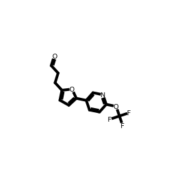 O=CCCc1ccc(-c2ccc(OC(F)(F)F)nc2)o1